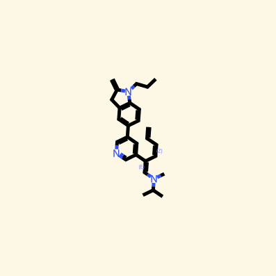 C=C/C=C\C(=C/N(C)C(C)C)c1cncc(-c2ccc3c(c2)CC(=C)N3CCC)c1